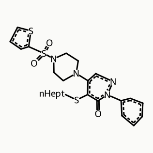 CCCCCCCSc1c(N2CCN(S(=O)(=O)c3cccs3)CC2)cnn(-c2ccccc2)c1=O